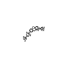 Cn1cc(-n2ccc(=O)c(Cc3cccc(-c4ncc(-c5cscn5)cn4)c3)n2)cn1